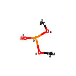 CCCCOP(O)OC(C)C